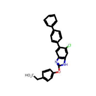 O=C(O)Cc1ccc(Oc2nc3cc(-c4ccc(-c5ccccc5)cc4)c(Cl)cc3[nH]2)cc1